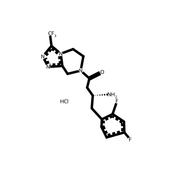 Cl.N[C@@H](CC(=O)N1CCn2c(nnc2C(F)(F)F)C1)Cc1ccc(F)cc1F